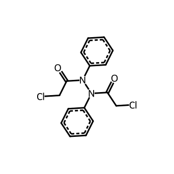 O=C(CCl)N(c1ccccc1)N(C(=O)CCl)c1ccccc1